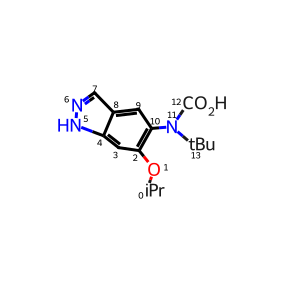 CC(C)Oc1cc2[nH]ncc2cc1N(C(=O)O)C(C)(C)C